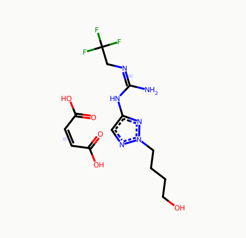 N/C(=N/CC(F)(F)F)Nc1cnn(CCCCO)n1.O=C(O)/C=C\C(=O)O